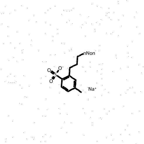 CCCCCCCCCCCCc1cc(C)ccc1S(=O)(=O)[O-].[Na+]